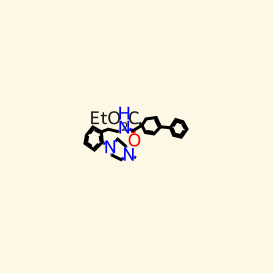 CCOC(=O)C1(C(=O)NCCc2ccccc2N2CCN(C)CC2)C=CC(c2ccccc2)=CC1